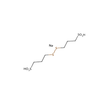 O=S(=O)(O)CCCSSCCCS(=O)(=O)O.[Na]